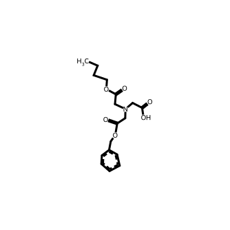 CCCCOC(=O)CN(CC(=O)O)CC(=O)OCc1ccccc1